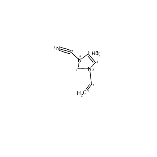 Br.C=CN1C=CN(C#N)C1